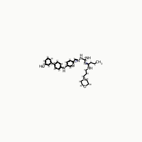 CCC/C(=N\C(=N)N/N=C/c1ccc(Nc2ccc(-c3cccc(O)c3)cc2)cn1)NCCCN1CCOCC1